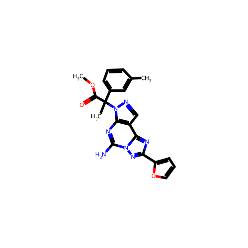 COC(=O)C(C)(c1cccc(C)c1)n1ncc2c1nc(N)n1nc(-c3ccco3)nc21